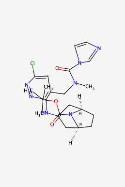 CN(Cc1cc(Cl)nnc1NC1C[C@H]2CC[C@@H](C1)N2C(=O)OC(C)(C)C)C(=O)n1ccnc1